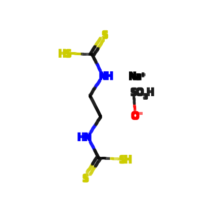 O=S(=O)([O-])O.S=C(S)NCCNC(=S)S.[Na+]